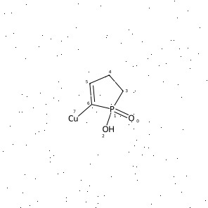 O=P1(O)CCC=[C]1[Cu]